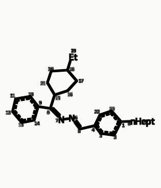 CCCCCCCc1ccc(C=NN=C(c2ccccc2)C2CCC(CC)CC2)cc1